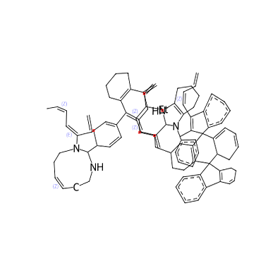 C=C/C=C\C1=C(C)C2(C3=CC=CCC3C3(C4=C(C=CCC4)c4ccccc43)C3=C2CC(CCC/C(CC=C)=C(\C2=CCC(C4NCC/C=C\CCN4/C(C=C)=C/C=C\C)C=C2)C2=C(C(=C)C(/C=C\C(=C)C4NC5=C(CCCC5)N4c4ccccc4)CC)CCCC2)CC3)c2ccccc21